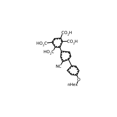 CCCCCCOc1ccc(-c2ccc(-c3c(C(=O)O)c(C(=O)O)cc(C(=O)O)c3C(=O)O)cc2C#N)cc1